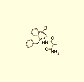 C[C](C(N)=O)C(=O)Nc1nc(Cl)c2ccccc2c1Cc1ccccc1